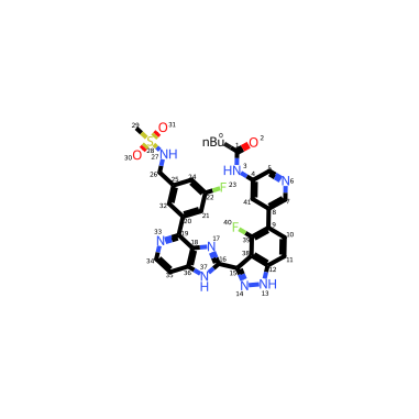 CCCCC(=O)Nc1cncc(-c2ccc3[nH]nc(-c4nc5c(-c6cc(F)cc(CNS(C)(=O)=O)c6)nccc5[nH]4)c3c2F)c1